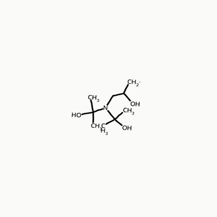 [CH2]C(O)CN(C(C)(C)O)C(C)(C)O